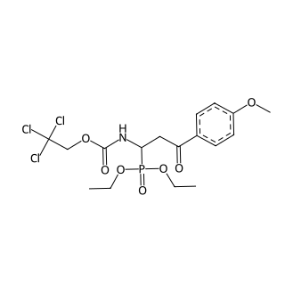 CCOP(=O)(OCC)C(CC(=O)c1ccc(OC)cc1)NC(=O)OCC(Cl)(Cl)Cl